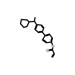 C=CC(=O)Oc1ccc(-c2ccc(C(C)C3CCCCC3)cc2)cc1